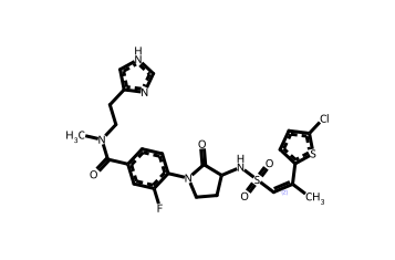 C/C(=C/S(=O)(=O)NC1CCN(c2ccc(C(=O)N(C)CCc3c[nH]cn3)cc2F)C1=O)c1ccc(Cl)s1